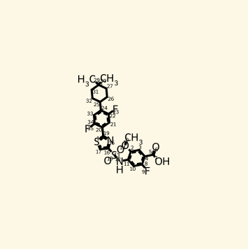 COc1cc(C(=O)O)c(F)cc1NS(=O)(=O)c1csc(-c2cc(F)c(C3CCC(C)(C)CC3)cc2F)n1